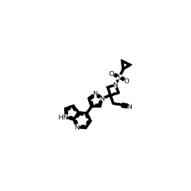 N#CCC1(n2cc(-c3ccnc4[nH]ccc34)cn2)CN(S(=O)(=O)C2CC2)C1